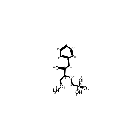 NOCC(OCP(=O)(O)O)C(=O)Cc1ccccc1